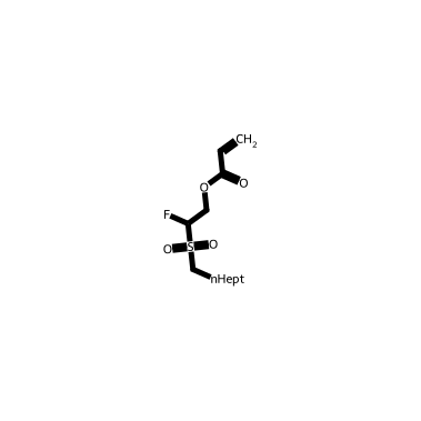 C=CC(=O)OCC(F)S(=O)(=O)CCCCCCCC